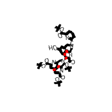 CC(C)(C)OC(=O)c1cccc(CN(Cc2cc(O)cc(CN(Cc3cccc(C(=O)OC(C)(C)C)n3)Cc3cccc(C(=O)OC(C)(C)C)n3)n2)Cc2cccc(C(=O)OC(C)(C)C)n2)n1